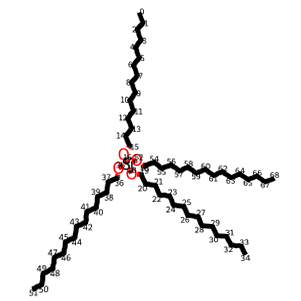 CCCCCCCCCCCCCCCCO[Si](OCCCCCCCCCCCCCCCC)(OCCCCCCCCCCCCCCCC)OCCCCCCCCCCCCCCCC